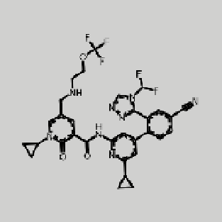 N#Cc1ccc(-c2cc(NC(=O)c3cc(CNCCOC(F)(F)F)cn(C4CC4)c3=O)nc(C3CC3)c2)c(-c2nncn2C(F)F)c1